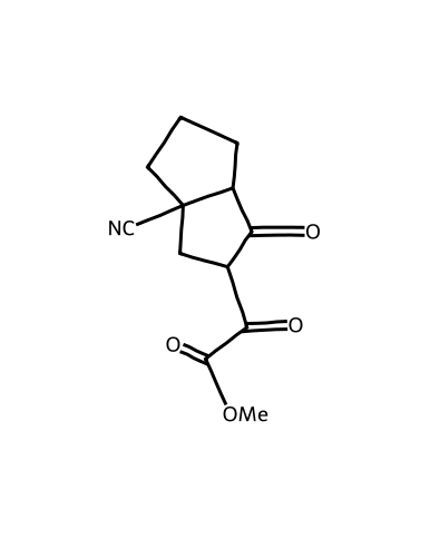 COC(=O)C(=O)C1CC2(C#N)CCCC2C1=O